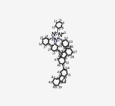 C=N/C(=N\C(=N/Cc1ccccc1)c1ccccc1-c1ccc(-n2c3ccccc3c3cc(-c4ccc5oc6ccccc6c5c4)ccc32)cc1)c1ccccc1